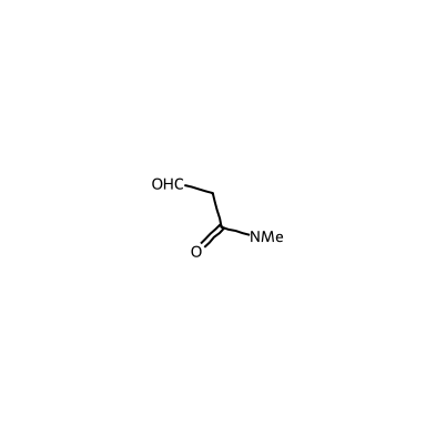 CNC(=O)CC=O